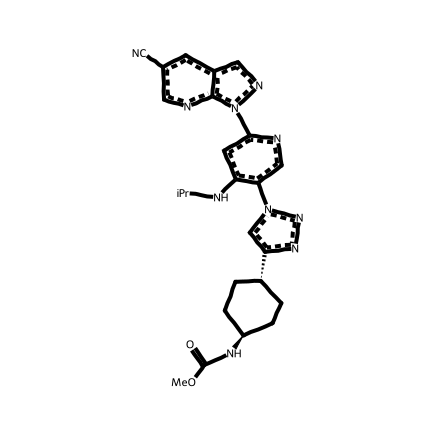 COC(=O)N[C@H]1CC[C@H](c2cn(-c3cnc(-n4ncc5cc(C#N)cnc54)cc3NC(C)C)nn2)CC1